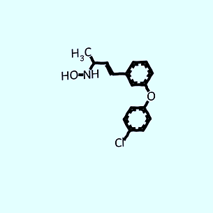 CC(C=Cc1cccc(Oc2ccc(Cl)cc2)c1)NO